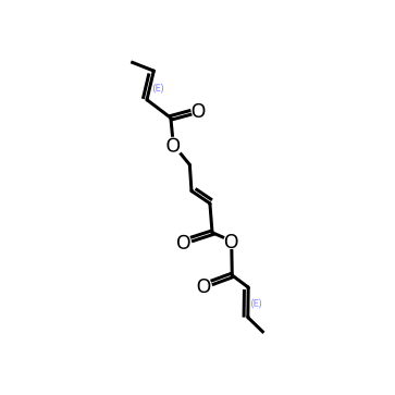 C/C=C/C(=O)OCC=CC(=O)OC(=O)/C=C/C